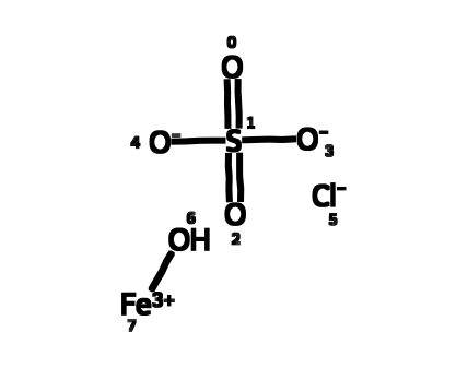 O=S(=O)([O-])[O-].[Cl-].[OH][Fe+3]